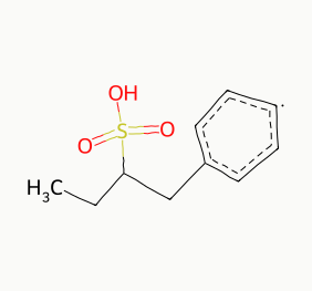 CCC(Cc1cc[c]cc1)S(=O)(=O)O